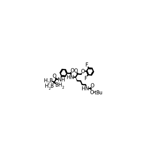 BC(B)(B)C(=O)Nc1cccc(C(=O)N[C@H](CCCCNC(=O)OC(C)(C)C)C(=O)COc2c(F)cccc2F)c1